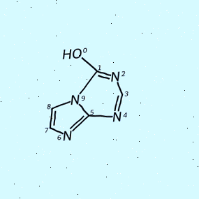 Oc1ncnc2nccn12